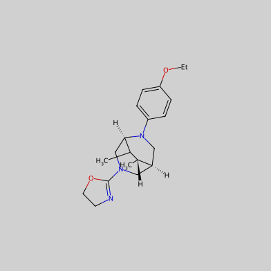 CCOc1ccc(N2C[C@H]3CN(C4=NCCO4)C[C@@H]2C(C)[C@H]3C)cc1